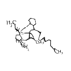 CCCCCCCC(C1CCCC[C@@H]1C)C1(C[C@@]2(CCC)CCC(N)C2)C(C)C1C